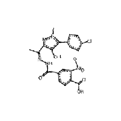 C/C(=N/NC(=O)c1ccc(C(=O)O)c([N+](=O)[O-])c1)c1nn(C)c(-c2ccc(Cl)cc2)c1O